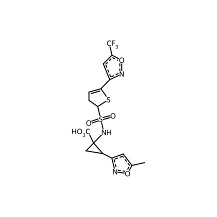 Cc1cc(C2CC2(NS(=O)(=O)C2CC=C(c3cc(C(F)(F)F)on3)S2)C(=O)O)no1